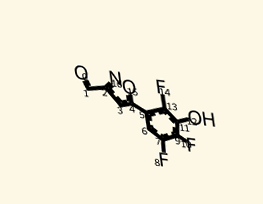 O=Cc1cc(-c2cc(F)c(F)c(O)c2F)on1